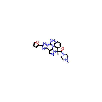 CN1CCN(C(=O)C(C)(c2ccccc2)n2ncc3c2nc(N)n2nc(-c4ccco4)nc32)CC1